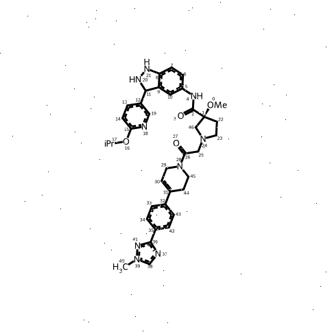 CO[C@@]1(C(=O)Nc2ccc3c(c2)C(c2ccc(OC(C)C)nc2)NN3)CCN(CC(=O)N2CC=C(c3ccc(-c4ncn(C)n4)cc3)CC2)C1